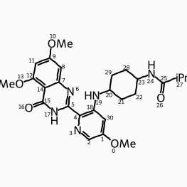 COc1cnc(-c2nc3cc(OC)cc(OC)c3c(=O)[nH]2)c(NC2CCC(NC(=O)C(C)C)CC2)c1